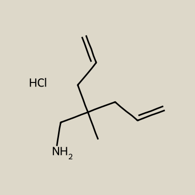 C=CCC(C)(CN)CC=C.Cl